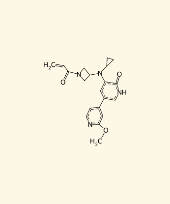 C=CC(=O)N1CC(N(c2cc(-c3ccnc(OC)c3)c[nH]c2=O)C2CC2)C1